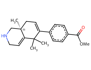 COC(=O)c1ccc(C2=CC[C@]3(C)CNCC=C3C2(C)C)cc1